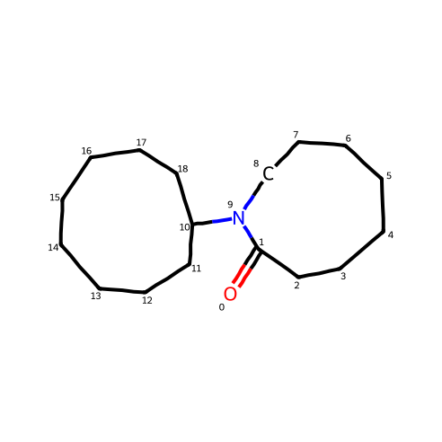 O=C1CCCCCCCN1C1CCCCCCCC1